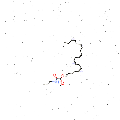 CC/C=C\C/C=C\C/C=C\C/C=C\C/C=C\CCCCOC(OC)C(=O)NCCC